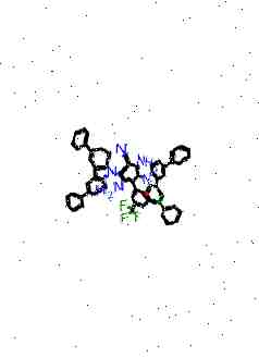 N#Cc1c(N)c(-n2c3ccc(-c4ccccc4)cc3c3cc(-c4ccccc4)ccc32)c(-c2cc(CF)cc(C(F)(F)F)c2)c(N)c1-n1c2c(c3cc(-c4ccccc4)ccc31)C=C(c1ccccc1)CC2